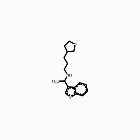 CC(NCCCC1CCOC1)c1csc2ccccc12